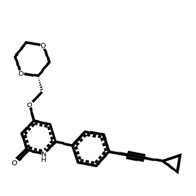 O=c1cc(OC[C@H]2COCCO2)cc(-c2ccc(C#CC3CC3)cc2)[nH]1